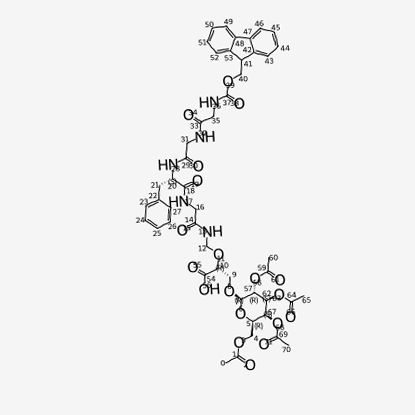 CC(=O)OC[C@H]1O[C@@H](OC[C@@H](OCNC(=O)CNC(=O)[C@H](Cc2ccccc2)NC(=O)CNC(=O)CNC(=O)OCC2c3ccccc3-c3ccccc32)C(=O)O)[C@H](OC(C)=O)[C@@H](OC(C)=O)[C@H]1OC(C)=O